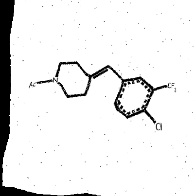 CC(=O)N1CCC(=Cc2ccc(Cl)c(C(F)(F)F)c2)CC1